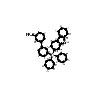 N#Cc1cccc(-c2cccc([Si](c3ccccc3)(c3ccccc3)c3ccc4c(c3)sc3ccccc34)c2)c1